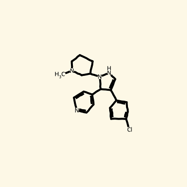 CN1CCCC(N2NC=C(c3ccc(Cl)cc3)C2c2ccncc2)C1